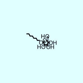 CCCCCCCCO[C@H]1O[C@H](CO)[C@H](O)[C@@H](O)[C@@H]1O